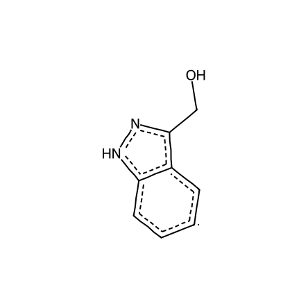 OCc1n[nH]c2cc[c]cc12